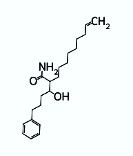 C=CCCCCCCCC(C(N)=O)C(O)CCCc1ccccc1